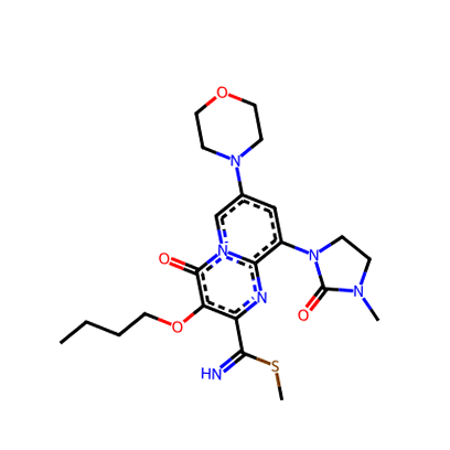 CCCCOc1c(C(=N)SC)nc2c(N3CCN(C)C3=O)cc(N3CCOCC3)cn2c1=O